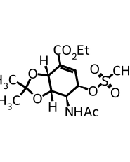 CCOC(=O)C1=C[C@@H](OS(C)(=O)=O)[C@@H](NC(C)=O)[C@@H]2OC(C)(C)O[C@H]12